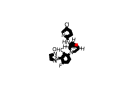 O=Cc1c(N2C[C@@H]3CC[C@H]2[C@H](Nc2ccc(Cl)cn2)C3)ccc(F)c1-n1nccn1